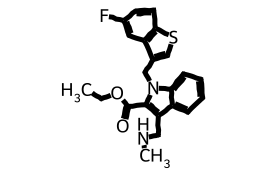 CCOC(=O)c1c(CNC)c2ccccc2n1Cc1csc2ccc(F)cc12